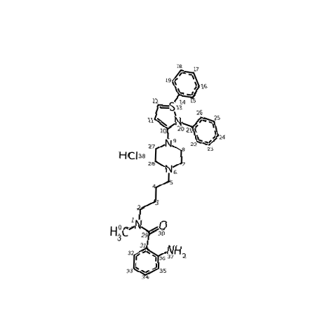 CN(CCCCN1CCN(C2=CC=S(c3ccccc3)N2c2ccccc2)CC1)C(=O)c1ccccc1N.Cl